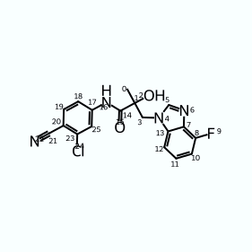 CC(O)(Cn1cnc2c(F)cccc21)C(=O)Nc1ccc(C#N)c(Cl)c1